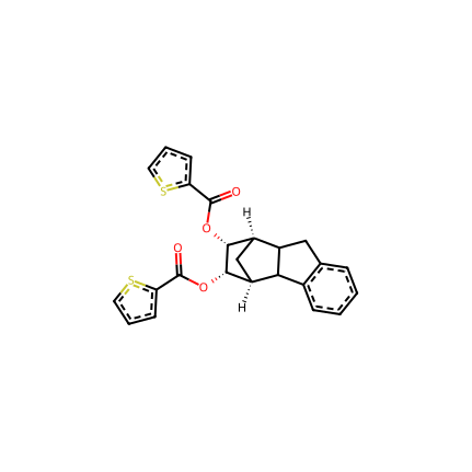 O=C(O[C@@H]1[C@H](OC(=O)c2cccs2)[C@@H]2C[C@H]1C1c3ccccc3CC12)c1cccs1